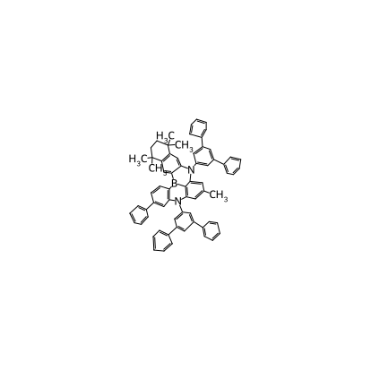 Cc1cc2c3c(c1)N(c1cc(-c4ccccc4)cc(-c4ccccc4)c1)c1cc4c(cc1B3c1ccc(-c3ccccc3)cc1N2c1cc(-c2ccccc2)cc(-c2ccccc2)c1)C(C)(C)CCC4(C)C